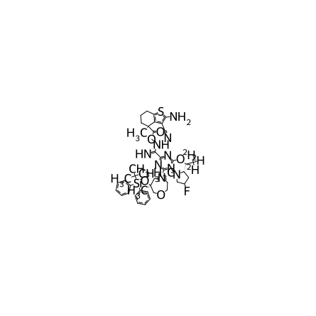 [2H]C([2H])([2H])C(Oc1nc(C(=N)NOC(=O)[C@@]2(C)CCCc3sc(N)c(C#N)c32)nc(N2CCOC[C@@](C)(O[Si](c3ccccc3)(c3ccccc3)C(C)(C)C)C2)n1)[C@@H]1C[C@@H](F)CN1C